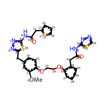 COc1cc(Cc2nnc(NC(=O)Cc3cccs3)s2)ccc1OCCOc1ccccc1CC(=O)Nc1nncs1